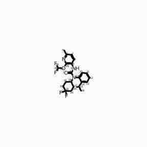 Cc1ccc(NC(=O)N(c2ccccc2C(C)C)C2CCC(F)(F)CC2)c(OC(F)F)n1